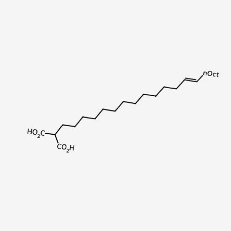 CCCCCCCCC=CCCCCCCCCCCCCC(C(=O)O)C(=O)O